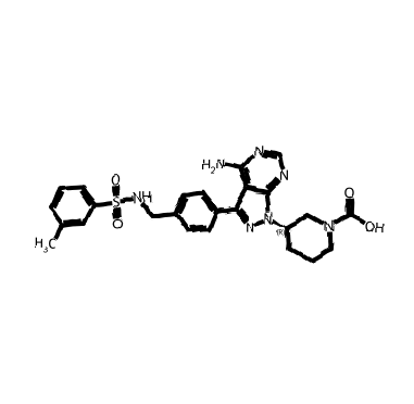 Cc1cccc(S(=O)(=O)NCc2ccc(-c3nn([C@@H]4CCCN(C(=O)O)C4)c4ncnc(N)c34)cc2)c1